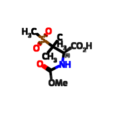 COC(=O)N[C@H](C(=O)O)C(C)(C)S(C)(=O)=O